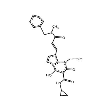 CC(C)Cn1c(=O)c(C(=O)NC2CC2)c(O)n2ncc(C=CC(=O)N(C)Cc3cccnc3)c12